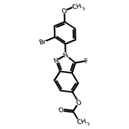 COc1ccc(-n2nc3ccc(OC(C)=O)cc3c2F)c(Br)c1